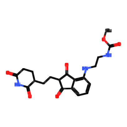 CC(C)(C)OC(=O)NCCNc1cccc2c1C(=O)C(CCC1CCC(=O)NC1=O)C2=O